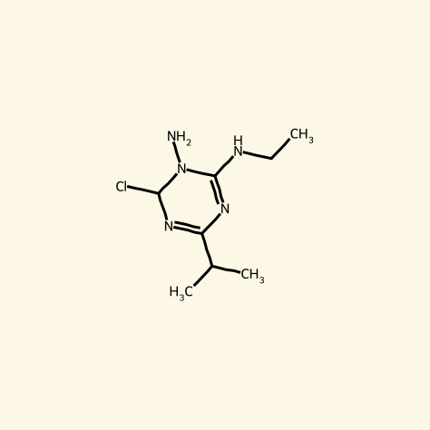 CCNC1=NC(C(C)C)=NC(Cl)N1N